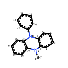 CC(C)N1c2ccccc2N(c2ccccc2)c2ccccc21